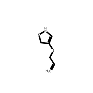 C=CCSC1=CNSC1